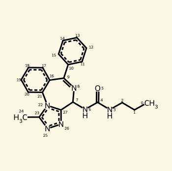 CCCNC(=O)NC1N=C(c2ccccc2)c2ccccc2-n2c(C)nnc21